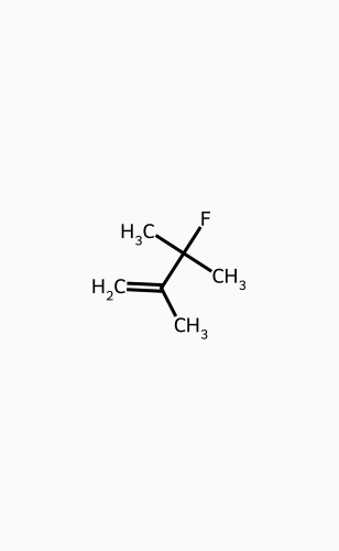 C=C(C)C(C)(C)F